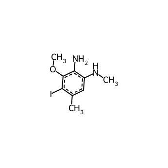 CNc1cc(C)c(I)c(OC)c1N